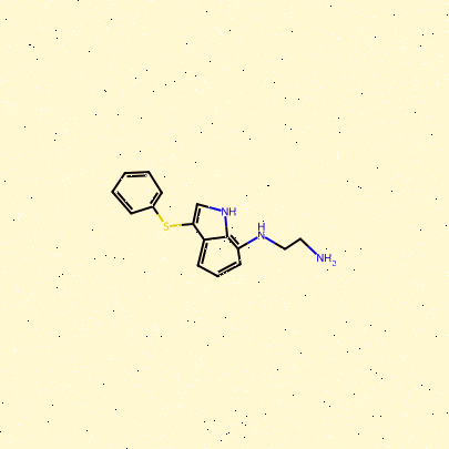 NCCNc1cccc2c(Sc3ccccc3)c[nH]c12